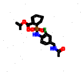 CC(=O)NCc1ccc(NS(=O)(=O)C2CCCC=C2C(=O)OC(C)C)c(F)c1